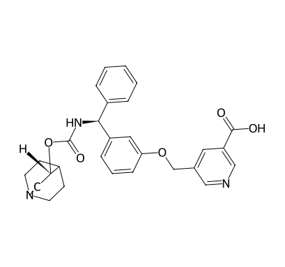 O=C(N[C@@H](c1ccccc1)c1cccc(OCc2cncc(C(=O)O)c2)c1)O[C@H]1CN2CCC1CC2